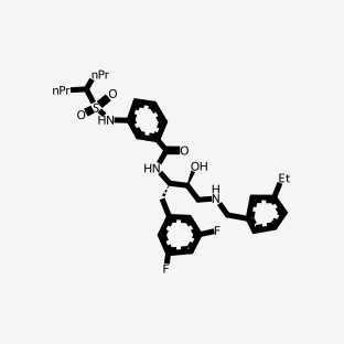 CCCC(CCC)S(=O)(=O)Nc1cccc(C(=O)N[C@@H](Cc2cc(F)cc(F)c2)[C@@H](O)CNCc2cccc(CC)c2)c1